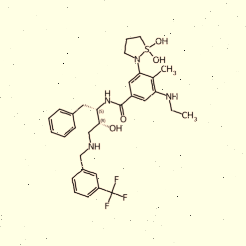 CCNc1cc(C(=O)N[C@@H](Cc2ccccc2)[C@H](O)CNCc2cccc(C(F)(F)F)c2)cc(N2CCCS2(O)O)c1C